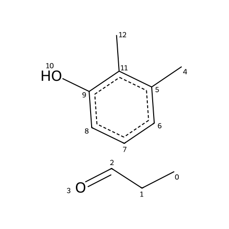 CCC=O.Cc1cccc(O)c1C